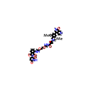 COc1cc(-c2cn(C)c(=O)c3cnccc23)cc(OC)c1CN(C)C12CC(C(=O)NCCOCCOCCNc3cccc4c3C(=O)N(C3CCC(=O)NC3=O)C4=O)(C1)C2